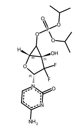 CC(C)OP(=O)(OC(C)C)OC1[C@H]2O[C@@H](n3ccc(N)nc3=O)C(F)(F)[C@@]12O